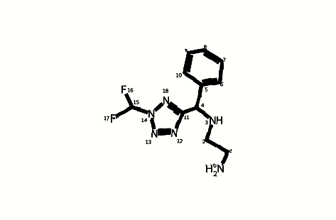 NCCNC(c1ccccc1)c1nnn(C(F)F)n1